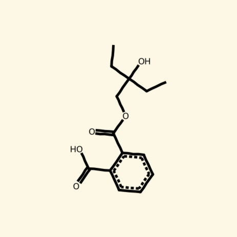 CCC(O)(CC)COC(=O)c1ccccc1C(=O)O